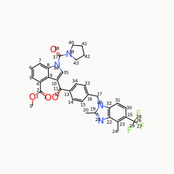 COC(=O)c1cccc2c1c(C(=O)c1ccc(Cn3c(C)nc4c(C)c(C(F)(F)F)ccc43)cc1)cn2C(=O)N1CCCC1